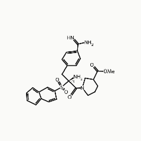 COC(=O)C1CCCN(C(=O)[C@@](N)(Cc2ccc(C(=N)N)cc2)S(=O)(=O)c2ccc3ccccc3c2)C1